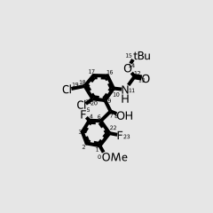 COc1ccc(F)c(C(O)c2c(NC(=O)OC(C)(C)C)ccc(Cl)c2Cl)c1F